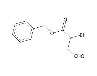 CCC(CC=O)C(=O)OCc1ccccc1